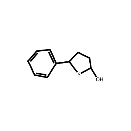 OC1CCC(c2ccccc2)S1